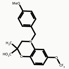 COc1ccc(CN2CC(C)(C(=O)O)Oc3ccc(OC(F)(F)F)cc32)cc1